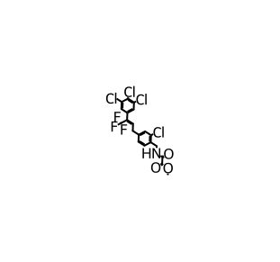 COC(=O)C(=O)NCc1ccc(CC=C(c2cc(Cl)c(Cl)c(Cl)c2)C(F)(F)F)cc1Cl